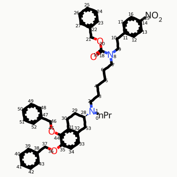 CCCN(CCCCCCN(CCc1ccc([N+](=O)[O-])cc1)C(=O)OCc1ccccc1)[C@H]1CCc2c(ccc(OCc3ccccc3)c2OCc2ccccc2)C1